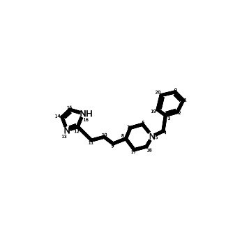 c1ccc(CN2CCC(CCCc3ncc[nH]3)CC2)cc1